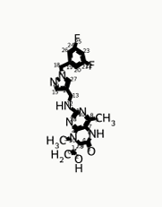 C=C(O)[C@H]1C(=O)Nc2c(C)nc(NCc3cnn(Cc4cc(F)cc(F)c4)c3)nc2N1C